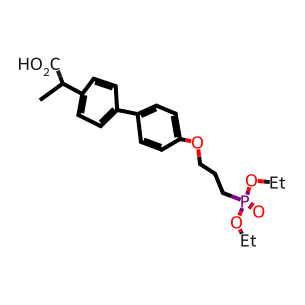 CCOP(=O)(CCCOc1ccc(-c2ccc(C(C)C(=O)O)cc2)cc1)OCC